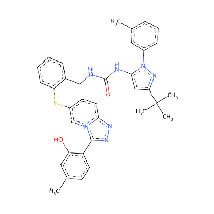 Cc1cccc(-n2nc(C(C)(C)C)cc2NC(=O)NCc2ccccc2Sc2ccc3nnc(-c4ccc(C)cc4O)n3c2)c1